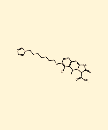 CC1c2c(ccc(OCCCCCCCn3ccnc3)c2Cl)N=C2NC(=O)C(C(N)=O)N21